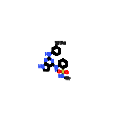 CC(=O)Nc1cccc(Nc2nc3c(c(Nc4ccccc4S(=O)(=O)NC(C)C)n2)CCN3)c1